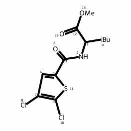 CCC(C)C(NC(=O)c1cc(Cl)c(Cl)s1)C(=O)OC